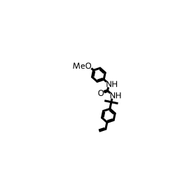 C=Cc1ccc(C(C)(C)NC(=O)Nc2ccc(OC)cc2)cc1